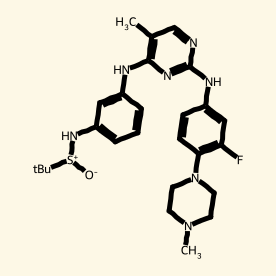 Cc1cnc(Nc2ccc(N3CCN(C)CC3)c(F)c2)nc1Nc1cccc(N[S+]([O-])C(C)(C)C)c1